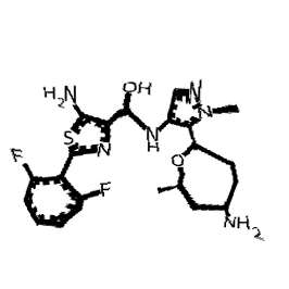 C[C@@H]1C[C@H](N)CC[C@H](c2c(NC(O)c3nc(-c4c(F)cccc4F)sc3N)cnn2C)O1